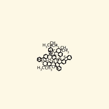 Cc1cc2c(cc1N1c3cc(N(c4ccc(-c5ccccc5)cc4)c4ccc(C(C)(C)C)cc4)ccc3B3c4c1cc1ccccc1c4-c1ccc4c(sc5ccccc54)c1N3c1ccc3c(c1)C(C)(C)CCC3(C)C)C(C)(C)CCC2(C)C